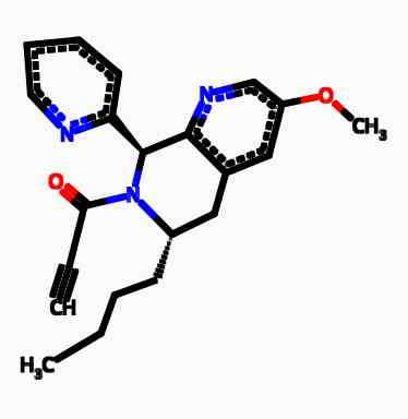 C#CC(=O)N1[C@@H](CCCC)Cc2cc(OC)cnc2[C@@H]1c1ccccn1